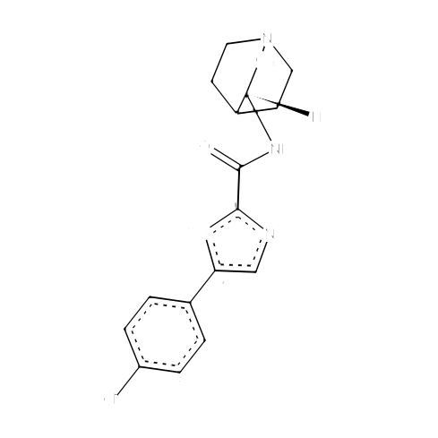 O=C(N[C@H]1CN2CCC1CC2)c1ncc(-c2ccc(Cl)cc2)s1